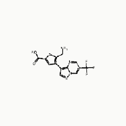 CCc1sc(C(=O)O)cc1-c1cnn2cc(C(F)(F)F)cnc12